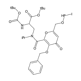 CC(C)N(CC(NC(=O)OC(C)(C)C)C(=O)OC(C)(C)C)C(=O)c1oc(COPI)cc(=O)c1OCc1ccccc1